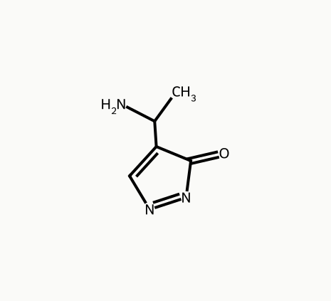 CC(N)C1=CN=NC1=O